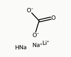 O=C([O-])[O-].[Li+].[Na+].[NaH]